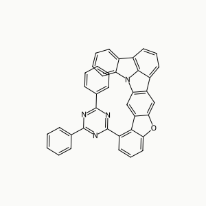 c1ccc(-c2nc(-c3ccccc3)nc(-c3cccc4oc5cc6c7cccc8c9ccccc9n(c6cc5c34)c87)n2)cc1